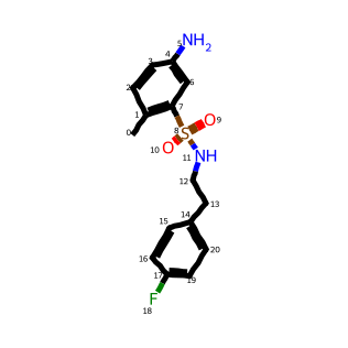 Cc1ccc(N)cc1S(=O)(=O)NCCc1ccc(F)cc1